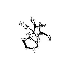 C1OCOCO1.CC1(C)NC(=O)NC1=O